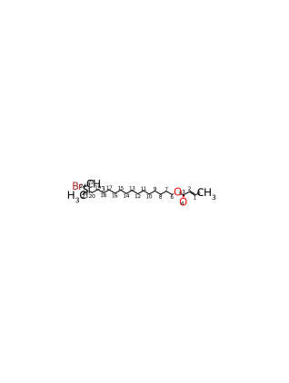 CC=CC(=O)OCCCCCCCCCCCCCCC[Si](C)(C)Br